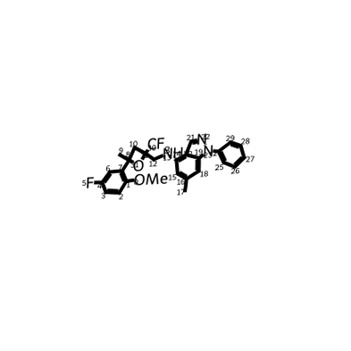 COc1ccc(F)cc1C1(C)CC(CNc2cc(C)cc3c2cnn3-c2ccccc2)(C(F)(F)F)O1